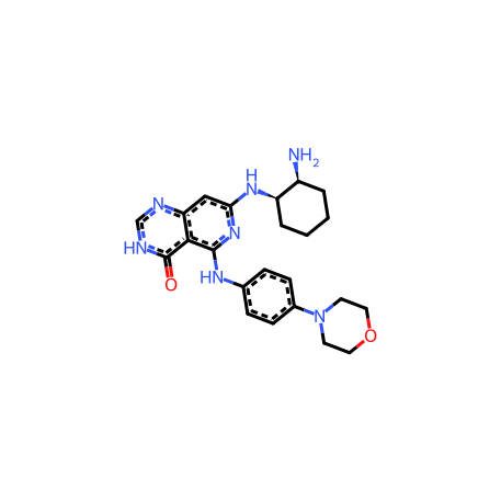 N[C@H]1CCCC[C@H]1Nc1cc2nc[nH]c(=O)c2c(Nc2ccc(N3CCOCC3)cc2)n1